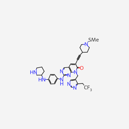 CSN1CCC(C#Cc2cc3cnc(Nc4ccc(NC5CCCNC5)cc4)nc3n(Cc3cncnc3CC(F)(F)F)c2=O)CC1